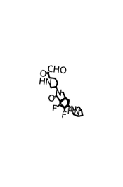 O=CC(=O)C1CCC(N2Cc3cc(N4CC5CC(C4)N5)c(F)c(F)c3C2=O)CN1